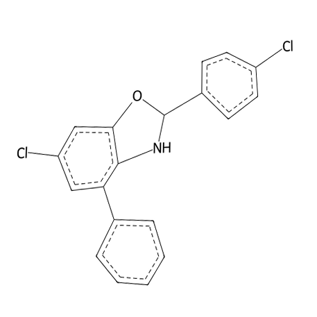 Clc1ccc(C2Nc3c(cc(Cl)cc3-c3ccccc3)O2)cc1